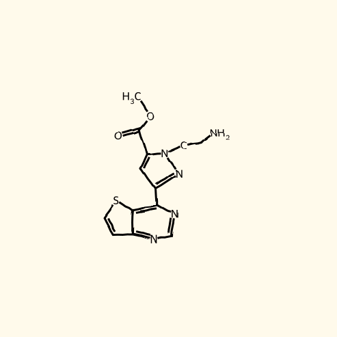 COC(=O)c1cc(-c2ncnc3ccsc23)nn1CCN